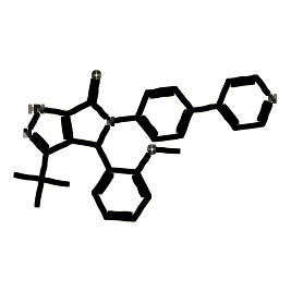 COc1ccccc1C1c2c(C(C)(C)C)n[nH]c2C(=O)N1c1ccc(-c2ccncc2)cc1